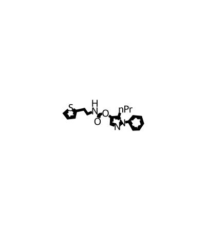 CCCc1c(OC(=O)NCCc2cccs2)cnn1-c1ccccc1